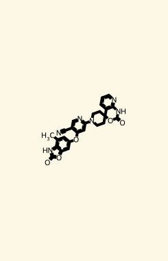 Cc1cc(Oc2cc(N3CCC4(CC3)OC(=O)Nc3ncccc34)ncc2C#N)cc2oc(=O)[nH]c12